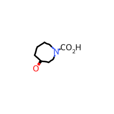 O=C1CCCCN(C(=O)O)CC1